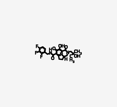 CC(C)(O)CN1C[C@@H]2CCc3c(C(=O)NCc4ccc(F)c(F)c4F)c(=O)c(O)c(n32)C1=O